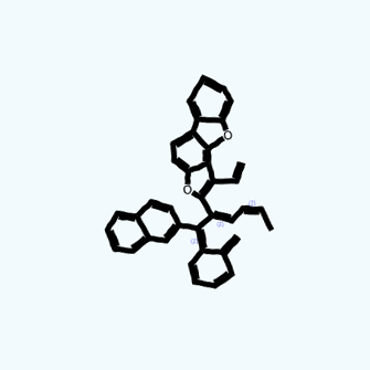 C=Cc1c(C(=C\C=C/C)/C(c2ccc3ccccc3c2)=c2/ccccc2=C)oc2ccc3c4ccccc4oc3c12